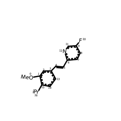 COc1cc(/C=C/c2ccc(F)cn2)ccc1C(C)C